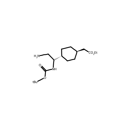 CCOC(=O)C[C@H]1CC[C@H](C(CN)NC(=O)OC(C)(C)C)CC1